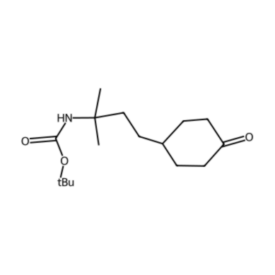 CC(C)(CCC1CCC(=O)CC1)NC(=O)OC(C)(C)C